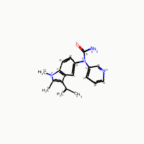 Cc1c(C(C)C)c2cc(N(C(N)=O)c3cccnc3)ccc2n1C